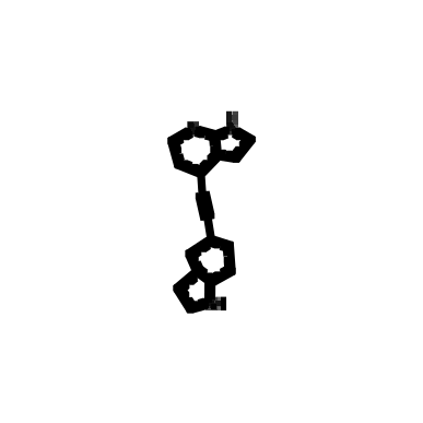 C(#Cc1ccnc2[nH]ccc12)c1ccc2[nH]ccc2c1